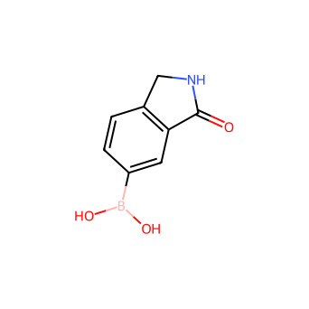 O=C1NCc2ccc(B(O)O)cc21